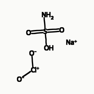 NS(=O)(=O)O.[Na+].[O-][Cl+][O-]